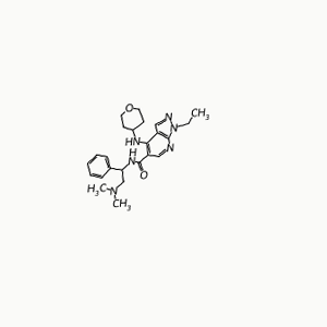 CCn1ncc2c(NC3CCOCC3)c(C(=O)NC(CN(C)C)c3ccccc3)cnc21